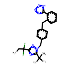 CCC(F)(F)c1nc(C(C)(C)C)n(Cc2ccc(Cc3ccccc3-c3nnn[nH]3)cc2)n1